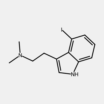 CN(C)CCc1c[nH]c2cccc(I)c12